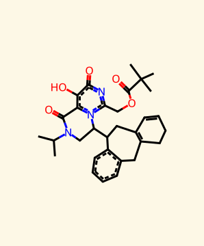 CC(C)N1CC(C2CC3=C(CCC=C3)Cc3ccccc32)n2c(COC(=O)C(C)(C)C)nc(=O)c(O)c2C1=O